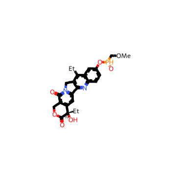 CCc1c2c(nc3ccc(O[PH](=O)COC)cc13)-c1cc3c(c(=O)n1C2)COC(=O)[C@]3(O)CC